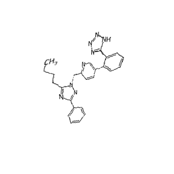 CCCCc1nc(-c2ccccc2)nn1Cc1ccc(-c2ccccc2-c2nnn[nH]2)cn1